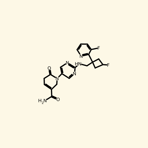 NC(=O)C1=CCC(=O)N(c2cnc(NCC3(c4ncccc4F)CC(F)C3)nc2)C1